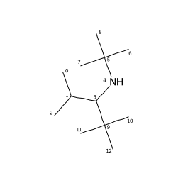 CC(C)C(NC(C)(C)C)C(C)(C)C